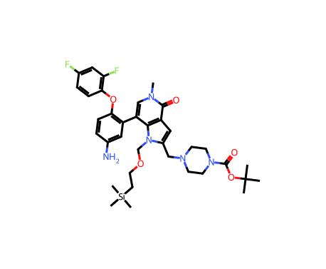 Cn1cc(-c2cc(N)ccc2Oc2ccc(F)cc2F)c2c(cc(CN3CCN(C(=O)OC(C)(C)C)CC3)n2COCC[Si](C)(C)C)c1=O